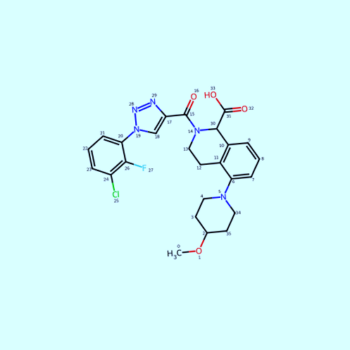 COC1CCN(c2cccc3c2CCN(C(=O)c2cn(-c4cccc(Cl)c4F)nn2)C3C(=O)O)CC1